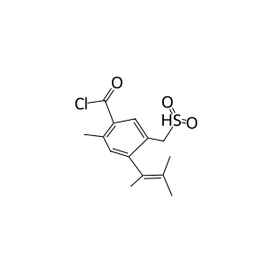 CC(C)=C(C)c1cc(C)c(C(=O)Cl)cc1C[SH](=O)=O